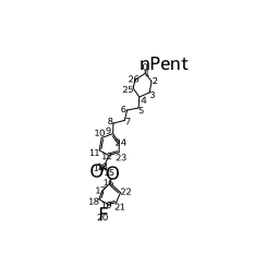 CCCCCC1CCC(CCCCc2ccc(C(=O)Oc3ccc(F)cc3)cc2)CC1